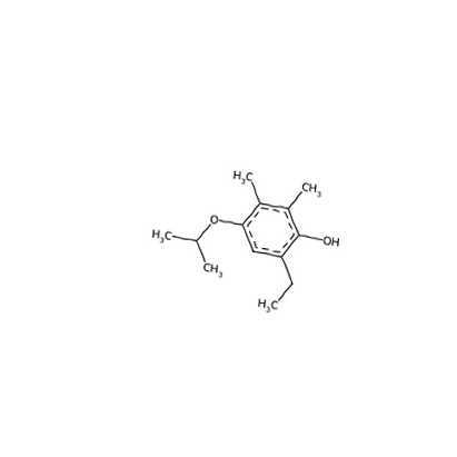 CCc1cc(OC(C)C)c(C)c(C)c1O